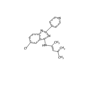 C=C(C)/C=C(\C)Nc1nc(-c2ccncc2)nc2ccc(Cl)cc12